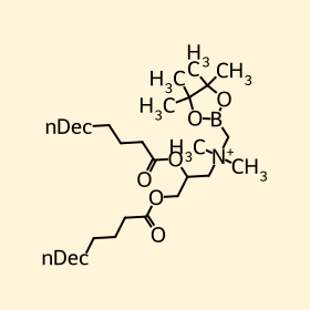 CCCCCCCCCCCCCC(=O)OCC(C[N+](C)(C)CB1OC(C)(C)C(C)(C)O1)OC(=O)CCCCCCCCCCCCC